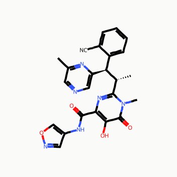 Cc1cncc([C@@H](c2ccccc2C#N)[C@H](C)c2nc(C(=O)Nc3cnoc3)c(O)c(=O)n2C)n1